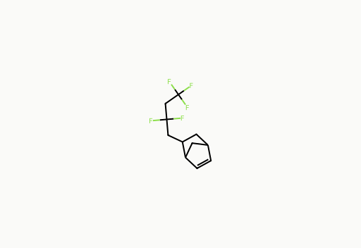 FC(F)(F)CC(F)(F)CC1CC2C=CC1C2